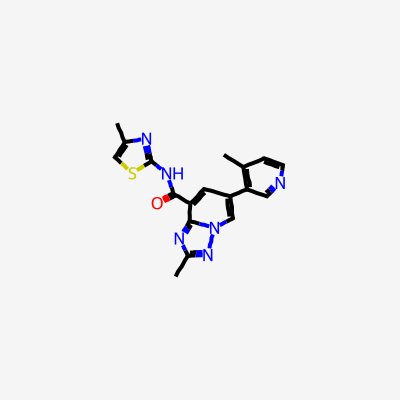 Cc1csc(NC(=O)c2cc(-c3cnccc3C)cn3nc(C)nc23)n1